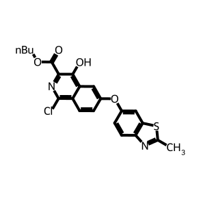 CCCCOC(=O)c1nc(Cl)c2ccc(Oc3ccc4nc(C)sc4c3)cc2c1O